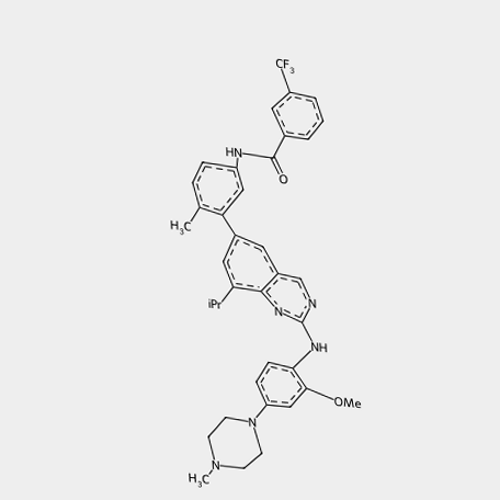 COc1cc(N2CCN(C)CC2)ccc1Nc1ncc2cc(-c3cc(NC(=O)c4cccc(C(F)(F)F)c4)ccc3C)cc(C(C)C)c2n1